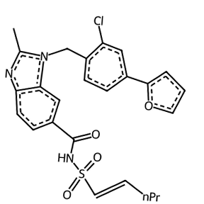 CCCC=CS(=O)(=O)NC(=O)c1ccc2nc(C)n(Cc3ccc(-c4ccco4)cc3Cl)c2c1